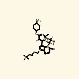 [2H]C([2H])([2H])C([2H])([2H])n1c(=O)ccc2c1c(-c1nc(C)nc(OC3CCC(C(F)(F)F)CC3)c1F)cn2COCC[Si](C)(C)C